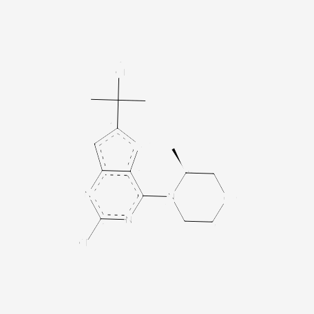 C[C@H]1COCCN1c1nc(Cl)nc2cc(C(C)(C)O)sc12